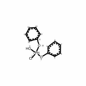 O[PH](Cl)(Oc1ccccc1)Oc1ccccc1